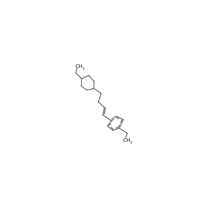 CCc1ccc(C=CCCC2CCC(CC)CC2)cc1